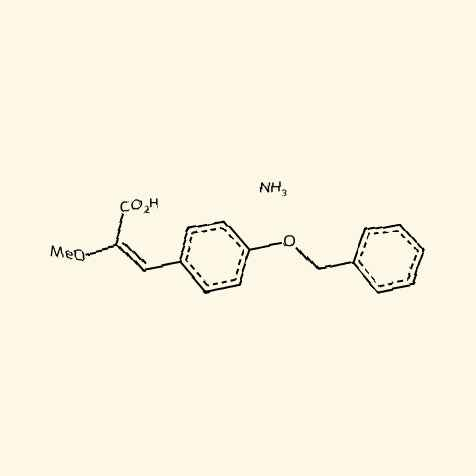 COC(=Cc1ccc(OCc2ccccc2)cc1)C(=O)O.N